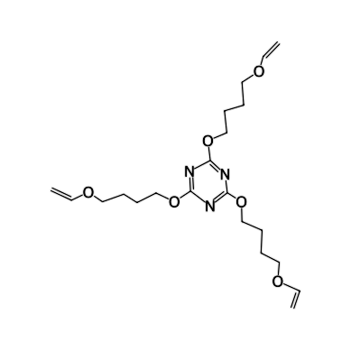 C=COCCCCOc1nc(OCCCCOC=C)nc(OCCCCOC=C)n1